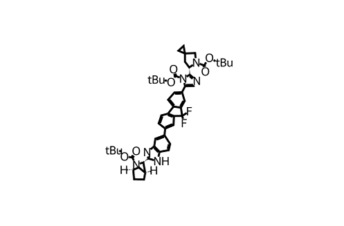 CC(C)(C)OC(=O)N1CC2(CC2)C[C@H]1c1ncc(-c2ccc3c(c2)C(F)(F)c2cc(-c4ccc5[nH]c([C@@H]6[C@H]7CC[C@H](C7)N6C(=O)OC(C)(C)C)nc5c4)ccc2-3)n1C(=O)OC(C)(C)C